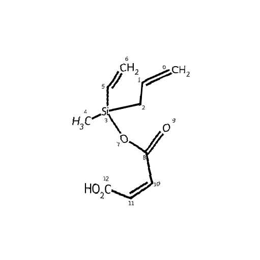 C=CC[Si](C)(C=C)OC(=O)/C=C\C(=O)O